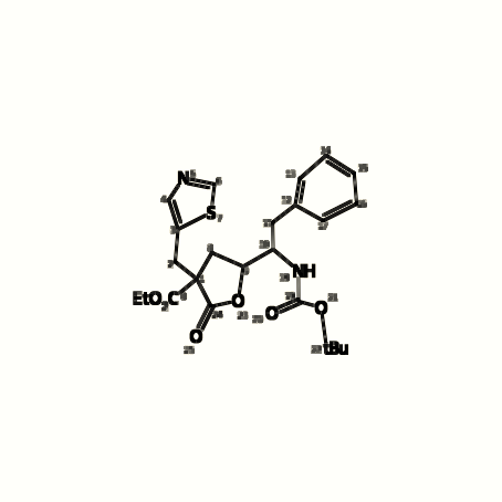 CCOC(=O)C1(Cc2cncs2)CC(C(Cc2ccccc2)NC(=O)OC(C)(C)C)OC1=O